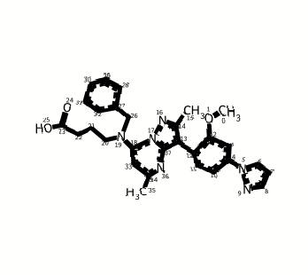 COc1cc(-n2cccn2)ccc1-c1c(C)nn2c(N(CCCC(=O)O)Cc3ccccc3)cc(C)nc12